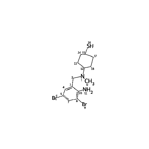 CN(Cc1cc(Br)cc(Br)c1N)C1CCC(S)CC1